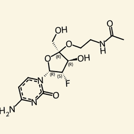 CC(=O)NCCO[C@]1(CO)O[C@@H](n2ccc(N)nc2=O)[C@@H](F)[C@@H]1O